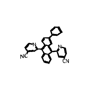 N#Cc1ccnc(-c2c3ccccc3c(-c3cc(C#N)ccn3)c3cc(-c4ccccc4)ccc23)c1